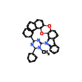 CN1C(n2c3ccccc3c3ccc4c(c32)Oc2c(ccc3ccccc23)O4)=NC(c2ccccc2)=NC1c1ccccc1